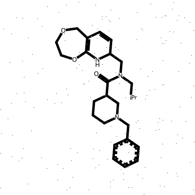 CC(C)CN(CC1C=CC2=C(N1)OCCOC2)C(=O)C1CCCN(Cc2ccccc2)C1